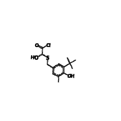 Cc1cc(CSC(O)C(=O)Cl)cc(C(C)(C)C)c1O